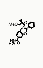 COCC1(C(=O)N2Cc3ccc(C(=O)NO)cc3OC[C@@H]2c2ccccc2)CC1